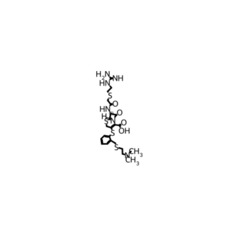 CN(C)CCSCc1ccccc1SC1=C(C(=O)O)N2C(=O)[C@@H](NC(=O)CSCCNC(=N)N)[C@@H]2SC1